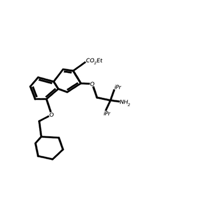 CCOC(=O)c1cc2cccc(OCC3CCCCC3)c2cc1OCC(N)(C(C)C)C(C)C